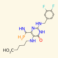 N=C(P)c1nc(NCc2ccc(F)c(F)c2)[nH]c(=O)c1NCCCCC(=O)O